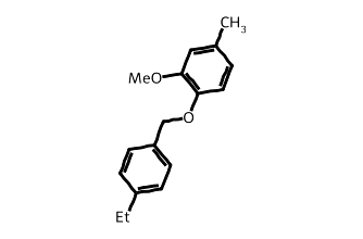 CCc1ccc(COc2ccc(C)cc2OC)cc1